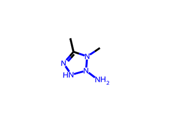 CC1=NNN(N)N1C